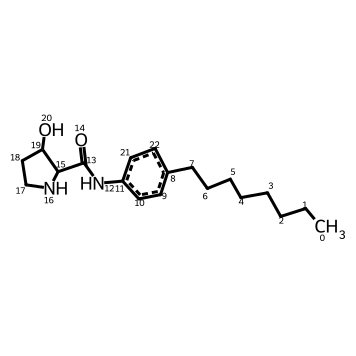 CCCCCCCCc1ccc(NC(=O)C2NCCC2O)cc1